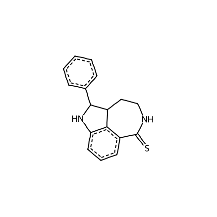 S=C1NCCC2c3c(cccc31)NC2c1ccccc1